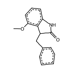 COc1cccc2c1C(Cc1ccccc1)C(=O)N2